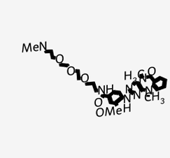 CNCCCOCCOCCOCCCNC(=O)c1ccc(Nc2ncc3c(n2)N(C)c2ccccc2C(=O)N3C)c(OC)c1